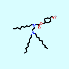 CCCCCCCCCN(CCCCCCCCC)CCN(CCCCCCCCC)CC(=O)OCC1CCC(COC)CC1